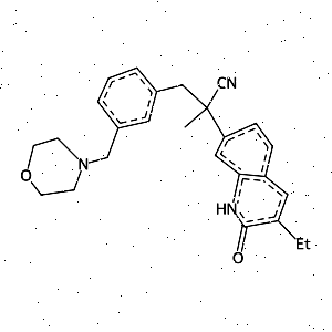 CCc1cc2ccc(C(C)(C#N)Cc3cccc(CN4CCOCC4)c3)cc2[nH]c1=O